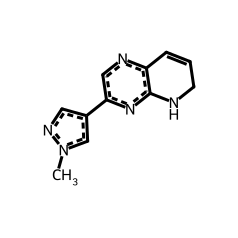 Cn1cc(-c2cnc3c(n2)NCC=C3)cn1